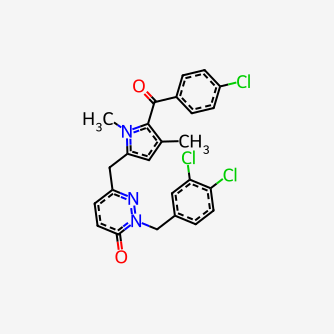 Cc1cc(Cc2ccc(=O)n(Cc3ccc(Cl)c(Cl)c3)n2)n(C)c1C(=O)c1ccc(Cl)cc1